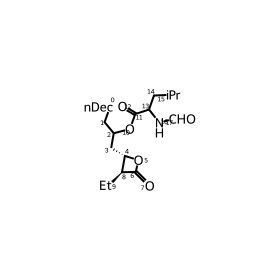 CCCCCCCCCCCC(C[C@@H]1OC(=O)[C@H]1CC)OC(=O)C(CC(C)C)NC=O